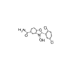 NC(=O)c1ccc2c(c1)N(O)C(c1cc(Cl)ccc1Cl)O2